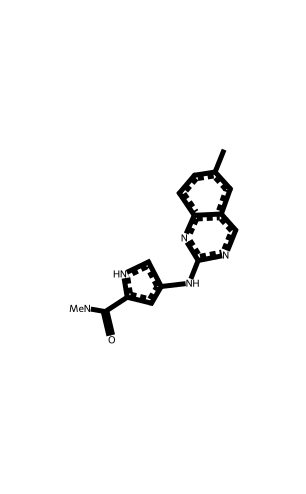 CNC(=O)c1cc(Nc2ncc3cc(C)ccc3n2)c[nH]1